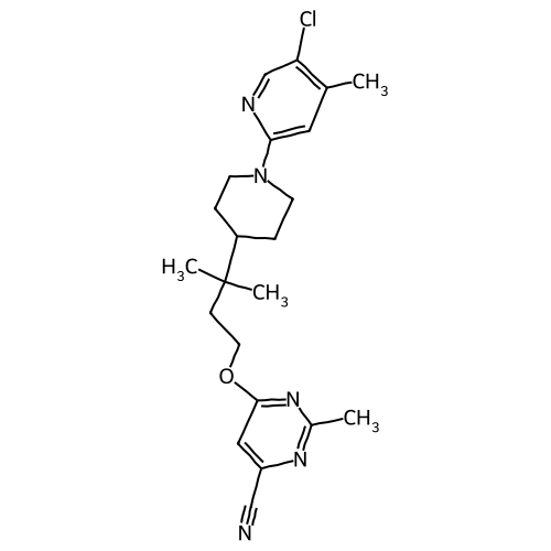 Cc1nc(C#N)cc(OCCC(C)(C)C2CCN(c3cc(C)c(Cl)cn3)CC2)n1